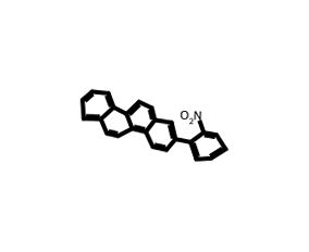 O=[N+]([O-])c1ccccc1-c1ccc2c(ccc3c4ccccc4ccc23)c1